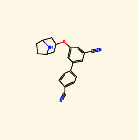 N#Cc1ccc(-c2cc(C#N)cc(OC3CC4CCC(C3)N4)c2)cc1